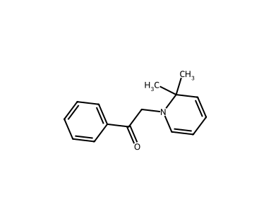 CC1(C)C=CC=CN1CC(=O)c1ccccc1